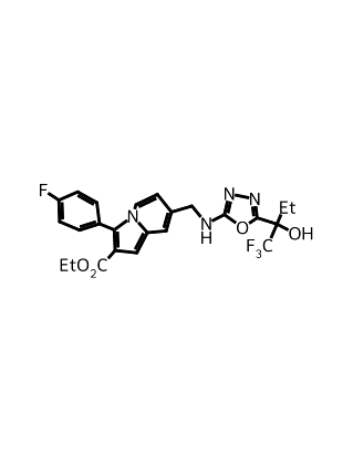 CCOC(=O)c1cc2cc(CNc3nnc(C(O)(CC)C(F)(F)F)o3)ccn2c1-c1ccc(F)cc1